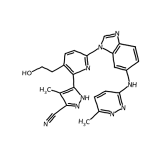 Cc1ccc(Nc2ccc3ncn(-c4ccc(CCO)c(-c5[nH]nc(C#N)c5C)n4)c3c2)nn1